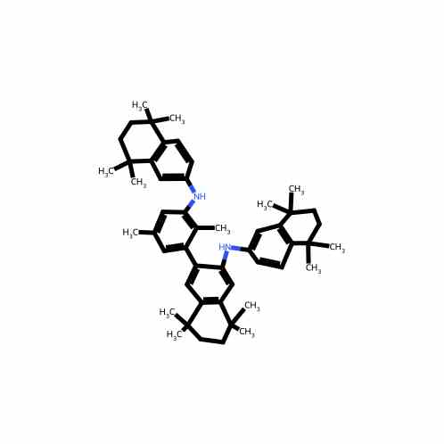 Cc1cc(Nc2ccc3c(c2)C(C)(C)CCC3(C)C)c(C)c(-c2cc3c(cc2Nc2ccc4c(c2)C(C)(C)CCC4(C)C)C(C)(C)CCC3(C)C)c1